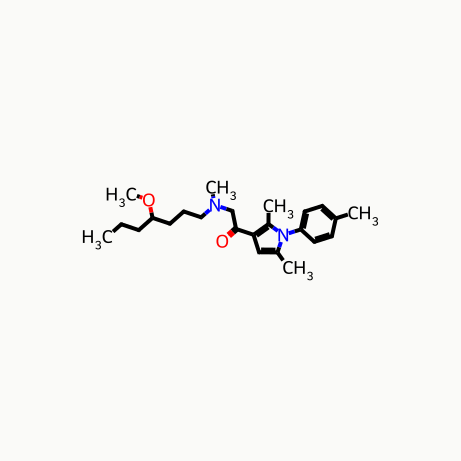 CCCC(CCCN(C)CC(=O)c1cc(C)n(-c2ccc(C)cc2)c1C)OC